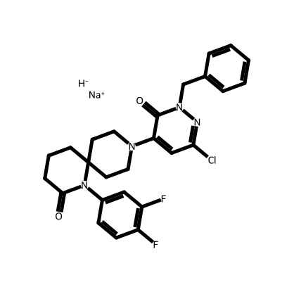 O=C1CCCC2(CCN(c3cc(Cl)nn(Cc4ccccc4)c3=O)CC2)N1c1ccc(F)c(F)c1.[H-].[Na+]